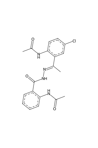 CC(=O)Nc1ccccc1C(=O)N/N=C(\C)c1cc(Cl)ccc1NC(C)=O